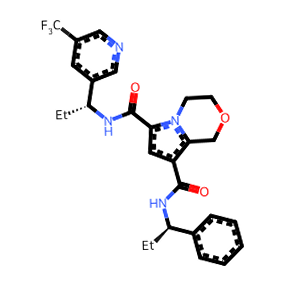 CC[C@@H](NC(=O)c1cc(C(=O)N[C@H](CC)c2cncc(C(F)(F)F)c2)n2c1COCC2)c1ccccc1